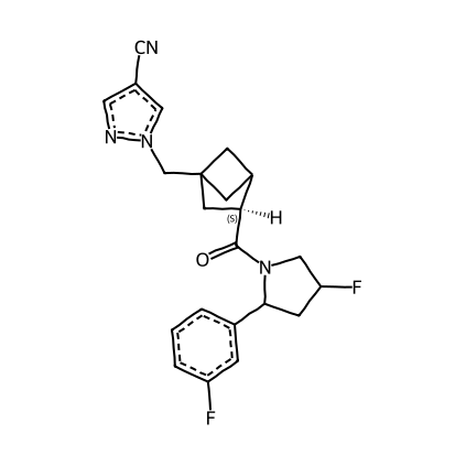 N#Cc1cnn(CC23CC(C2)[C@@H](C(=O)N2CC(F)CC2c2cccc(F)c2)C3)c1